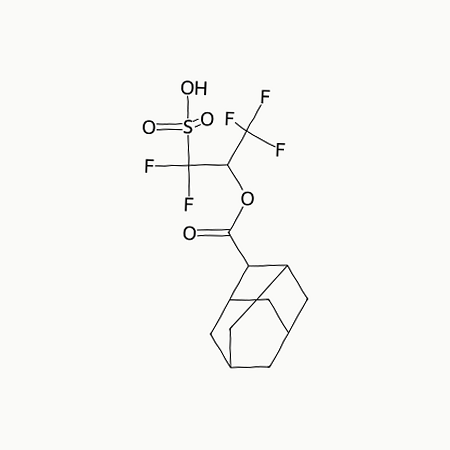 O=C(OC(C(F)(F)F)C(F)(F)S(=O)(=O)O)C1C2CC3CC(C2)CC1C3